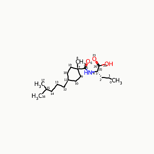 CCC[C@H](NC(=O)[C@]1(C)CC[C@@H](CCCC(C)C)CC1)C(=O)O